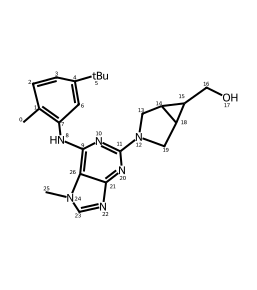 Cc1ccc(C(C)(C)C)cc1Nc1nc(N2CC3C(CO)C3C2)nc2ncn(C)c12